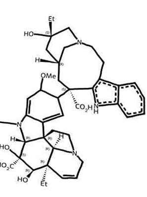 CC[C@]1(O)C[C@@H]2CN(CCc3c([nH]c4ccccc34)[C@@](C(=O)O)(C3C=C4C(=CC3OC)N(C)[C@H]3[C@@](O)(C(=O)O)[C@H](O)[C@]5(CC)C=CCN6CC[C@]43[C@@H]65)C2)C1